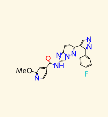 COc1cc(C(=O)Nc2cn3nc(-c4cn(C)nc4-c4ccc(F)cc4)ccc3n2)ccn1